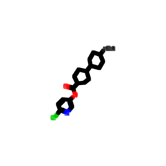 CCCCCCCCC1CCC(C2CCC(C(=O)Oc3ccc(Cl)nc3)CC2)CC1